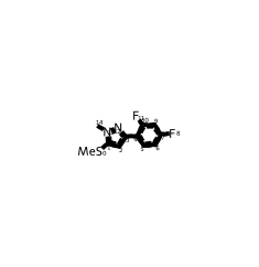 CSc1cc(-c2ccc(F)cc2F)nn1C